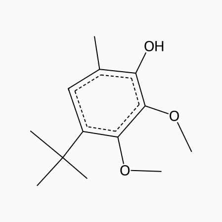 COc1c(C(C)(C)C)cc(C)c(O)c1OC